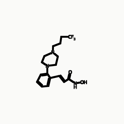 O=C(/C=C/c1ccccc1N1CCN(CCCC(F)(F)F)CC1)NO